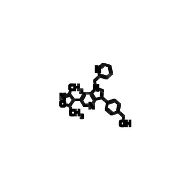 CC1=NOC(C)C1c1cnc2c(-c3ccc(CO)cc3)cn(Cc3ccccn3)c2c1